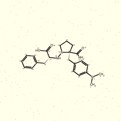 CN(C)c1ccc(C[C@@]2(C(N)=O)CCCN2N[C@H](Cc2ccccc2)C(=O)O)cc1